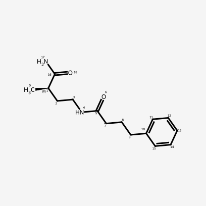 C[C@H](CCNC(=O)[CH]CCc1ccccc1)C(N)=O